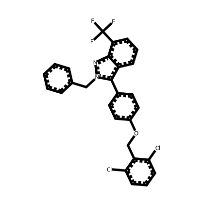 FC(F)(F)c1cccc2c(-c3ccc(OCc4c(Cl)cccc4Cl)cc3)n(Cc3ccccc3)nc12